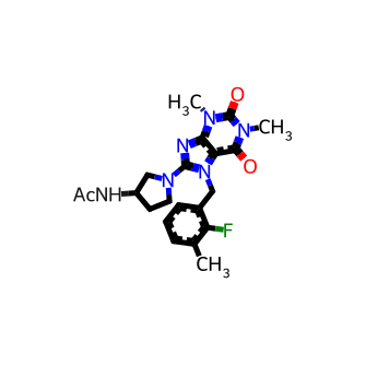 CC(=O)NC1CCN(c2nc3c(c(=O)n(C)c(=O)n3C)n2Cc2cccc(C)c2F)C1